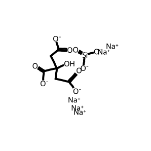 O=C([O-])CC(O)(CC(=O)[O-])C(=O)[O-].O=[Si]([O-])[O-].[Na+].[Na+].[Na+].[Na+].[Na+]